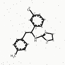 Cc1ccc(CC(NC2=NCCS2)c2cccc(Cl)c2)cc1